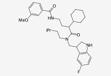 COc1cccc(C(=O)NCCC(C(=O)N(CCC(C)C)CC2CNc3ccc(F)cc32)C2CCCCC2)c1